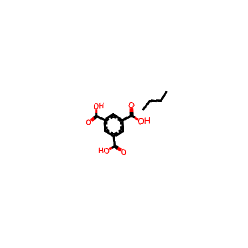 CCCC.O=C(O)c1cc(C(=O)O)cc(C(=O)O)c1